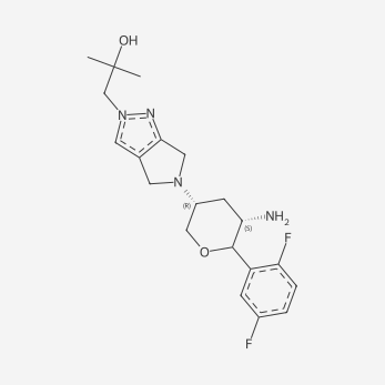 CC(C)(O)Cn1cc2c(n1)CN([C@H]1COC(c3cc(F)ccc3F)[C@@H](N)C1)C2